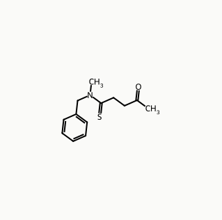 CC(=O)CCC(=S)N(C)Cc1ccccc1